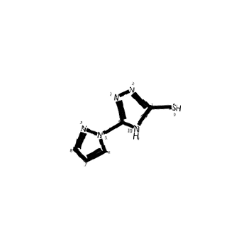 Sc1nnc(-n2cccn2)[nH]1